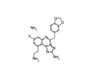 N.NCCc1cc(F)cc2nc(Cc3ccc4c(c3)OCO4)n3nc(N)nc3c12